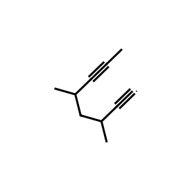 [C]#CC(C)CC(C)C#CC